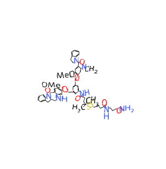 C=Nc1cc(OCc2cc(COc3cc4c(cc3OC)C(=O)N3c5ccccc5CC3CN4)cc(NC(=O)CCC(C)(C)SSCCCC(=O)NCCCON)c2)c(OC)cc1C(=O)N1CCc2ccccc21